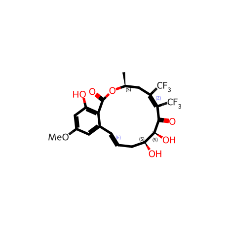 COc1cc(O)c2c(c1)/C=C/C[C@H](O)[C@H](O)C(=O)/C(C(F)(F)F)=C(/C(F)(F)F)C[C@H](C)OC2=O